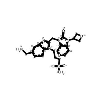 CS(=O)(=O)CCCn1c(Cn2c(=O)n(C3COC3)c3ccncc32)nc2cc(CN)ccc21